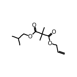 C=CCOC(=O)C(C)(C)C(=O)OCC(C)C